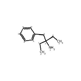 CCC(N)(CC)Cc1ccccc1